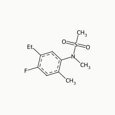 CCc1cc(N(C)S(C)(=O)=O)c(C)cc1F